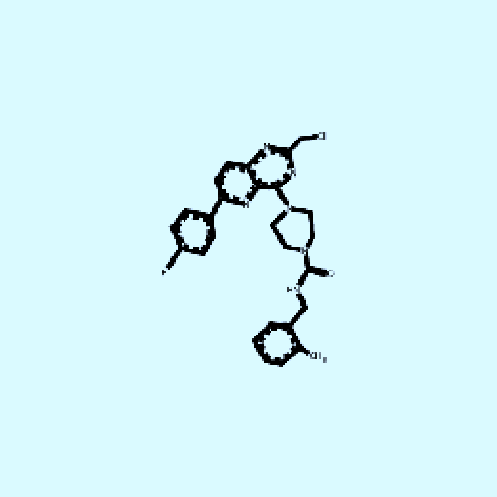 Cc1ccccc1CNC(=O)N1CCN(c2nc(CCl)nc3ccc(-c4ccc(F)cc4)nc23)CC1